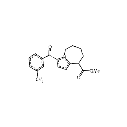 COC(=O)C1CCCCn2c(C(=O)c3cccc(C)c3)ccc21